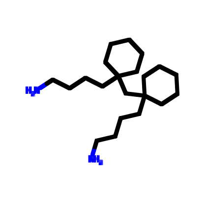 NCCCCC1(CC2(CCCCN)CCCCC2)CCCCC1